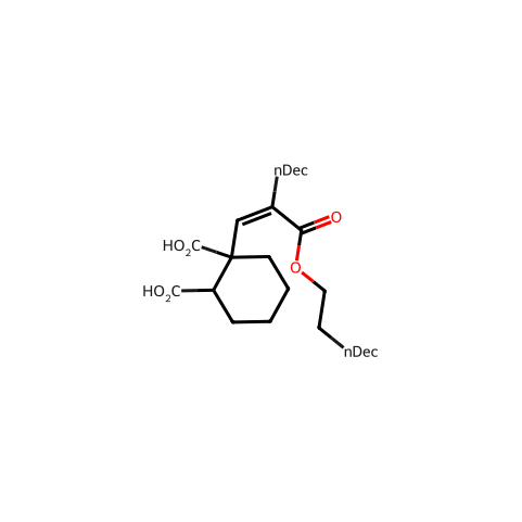 CCCCCCCCCCCCOC(=O)C(=CC1(C(=O)O)CCCCC1C(=O)O)CCCCCCCCCC